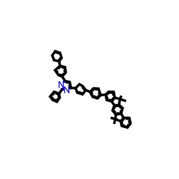 CC1(C)c2ccccc2-c2cc3c(cc21)-c1cc(-c2ccc(C4=CCC(c5cc(-c6ccc(C7=CC=CCC7)cc6)nc(-c6ccccc6)n5)C=C4)cc2)ccc1C3(C)C